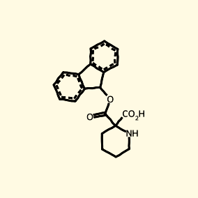 O=C(O)C1(C(=O)OC2c3ccccc3-c3ccccc32)CCCCN1